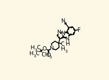 CC(C)(C)OC(=O)N1CCC(C)(c2cnn3c2[nH]c2cc(F)cc(C#N)c23)CC1